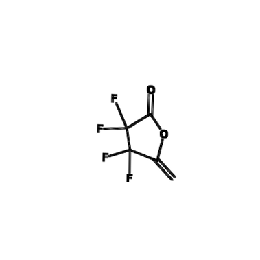 C=C1OC(=O)C(F)(F)C1(F)F